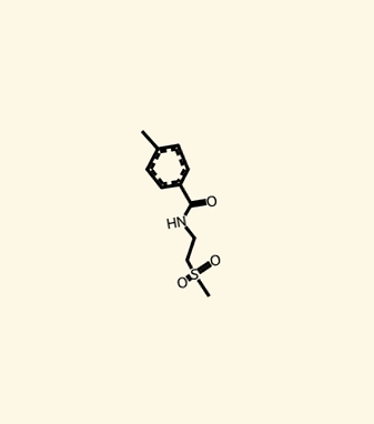 Cc1ccc(C(=O)NCCS(C)(=O)=O)cc1